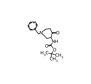 CC(C)(C)OC(=O)NC1CN(Cc2ccccc2)CCC1=O